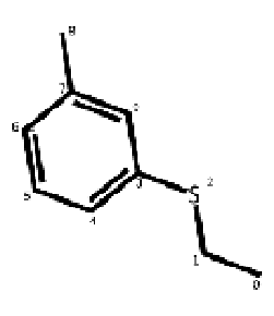 CCSc1cc[c]c(C)c1